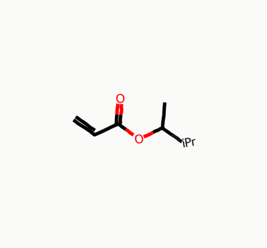 [CH2]C(C)C(C)OC(=O)C=C